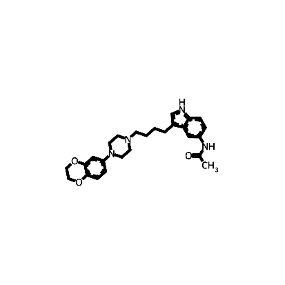 CC(=O)Nc1ccc2[nH]cc(CCCCN3CCN(c4ccc5c(c4)OCCO5)CC3)c2c1